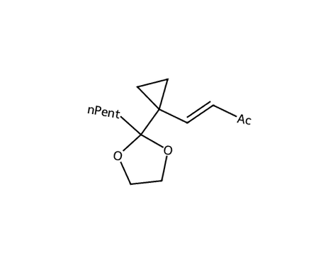 CCCCCC1(C2(C=CC(C)=O)CC2)OCCO1